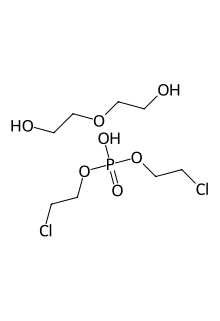 O=P(O)(OCCCl)OCCCl.OCCOCCO